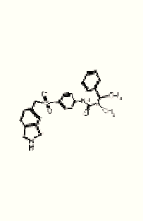 CC(c1ccccc1)N(C)C(=O)Nc1ccc(S(=O)(=O)Cc2ccc3c(c2)CNC3)cc1